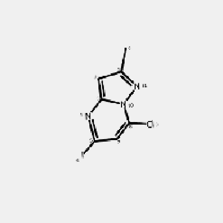 Cc1cc2nc(I)cc(Cl)n2n1